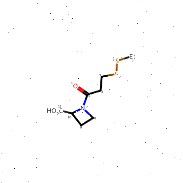 CCSSCCC(=O)N1CCC1C(=O)O